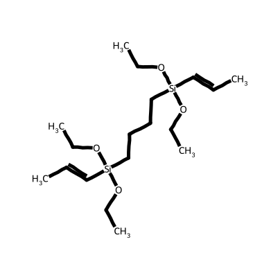 CC=C[Si](CCCC[Si](C=CC)(OCC)OCC)(OCC)OCC